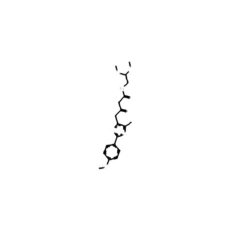 COc1ccc(-c2nc(CC(=O)CC(=O)NCC(OC)OC)c(C)o2)cc1